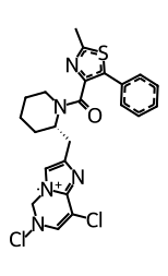 Cc1nc(C(=O)N2CCCC[C@H]2CC2=C[N+]3CN(Cl)C=C(Cl)C3=N2)c(-c2ccccc2)s1